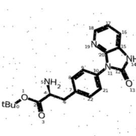 CC(C)(C)OC(=O)[C@@H](N)Cc1ccc(-n2c(=O)[nH]c3cccnc32)cc1